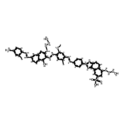 COc1cc(N=Nc2ccc(-n3nc4ccc5c(SOOO)cc(S(=O)(=O)O)cc5c4n3)cc2)c(C)cc1N=Nc1c(SOOO)cc2cc(N=Nc3ccc(N)cc3C)ccc2c1O